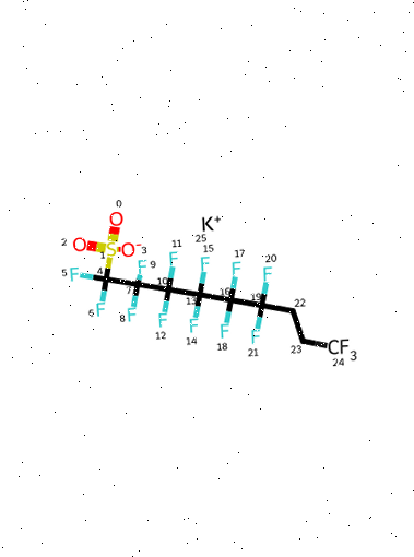 O=S(=O)([O-])C(F)(F)C(F)(F)C(F)(F)C(F)(F)C(F)(F)C(F)(F)CCC(F)(F)F.[K+]